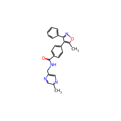 Cc1cnc(CNC(=O)c2ccc(-c3c(-c4ccccc4)noc3C)cc2)cn1